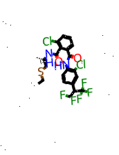 CCSC[C@H](C)NC(=O)c1c(Cl)cccc1C(=O)Nc1ccc(C(C(F)F)C(F)(F)F)cc1Cl